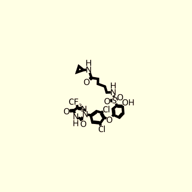 O=C(CCCCNS(=O)(=O)c1cc(Oc2c(Cl)cc(-n3nc(C(F)(F)F)c(=O)[nH]c3=O)cc2Cl)ccc1O)NC1CC1